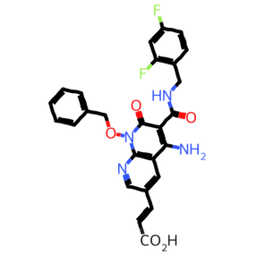 Nc1c(C(=O)NCc2ccc(F)cc2F)c(=O)n(OCc2ccccc2)c2ncc(C=CC(=O)O)cc12